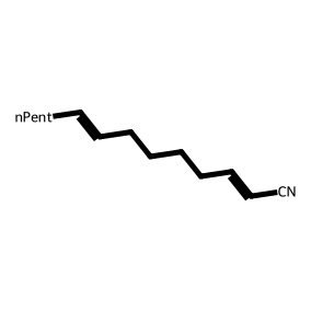 CCCCCC=CCCCCC=CC#N